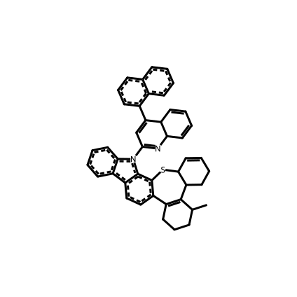 CC1CCCC2=C1C1CCC=CC1Sc1c2ccc2c3ccccc3n(C3=NC4C=CC=CC4C(c4cccc5ccccc45)=C3)c12